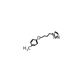 Cc1ccc(OCCCCn2ccnn2)cc1